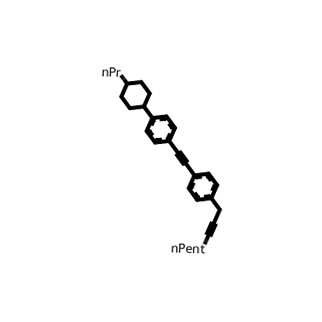 CCCCCC#CCc1ccc(C#Cc2ccc(C3CCC(CCC)CC3)cc2)cc1